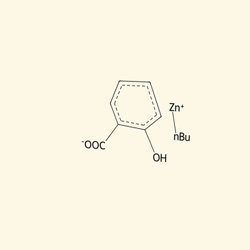 CCC[CH2][Zn+].O=C([O-])c1ccccc1O